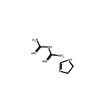 C1=NCCN1.N=C(N)NC(=N)N